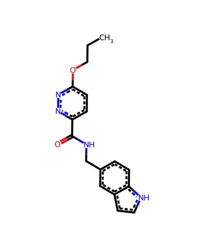 CCCOc1ccc(C(=O)NCc2ccc3[nH]ccc3c2)nn1